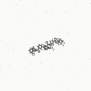 CC(C)(C)OC(=O)N1CC[C@H](NC(=O)c2nc(-c3cccc(C(=O)NCc4c(F)cccc4Cl)c3)cnc2N)C1